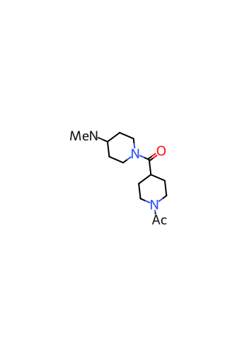 CNC1CCN(C(=O)C2CCN(C(C)=O)CC2)CC1